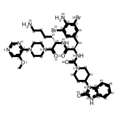 COc1cncnc1N1CCN(C(=O)[C@H](CCCCN)NC(=O)[C@@H](Cc2cc(Br)c(N)c(Br)c2)NC(=O)N2CCC(n3c(=O)[nH]c4ccccc43)CC2)CC1